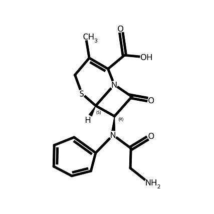 CC1=C(C(=O)O)N2C(=O)[C@@H](N(C(=O)CN)c3ccccc3)[C@@H]2SC1